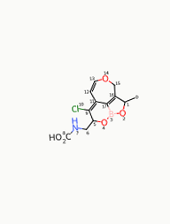 CC1OB2OC(CNC(=O)O)C(Cl)=C3C=COCC1=C23